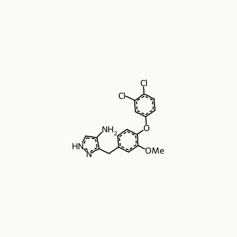 COc1cc(Cc2n[nH]cc2N)ccc1Oc1ccc(Cl)c(Cl)c1